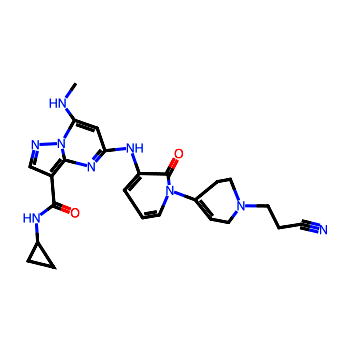 CNc1cc(Nc2cccn(C3=CCN(CCC#N)CC3)c2=O)nc2c(C(=O)NC3CC3)cnn12